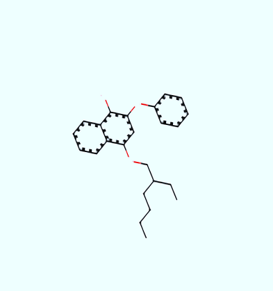 CCCCC(CC)COc1cc(Oc2ccccc2)c(O)c2ccccc12